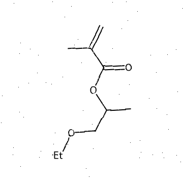 C=C(C)C(=O)OC(C)CO[CH]C